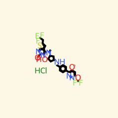 COc1nc(N(C)[C@H]2C[C@@H](NCc3ccc(-c4nnc(OC(F)F)cc4OC)cc3)C[C@H]2O)c2cc(CC(F)(F)F)sc2n1.Cl